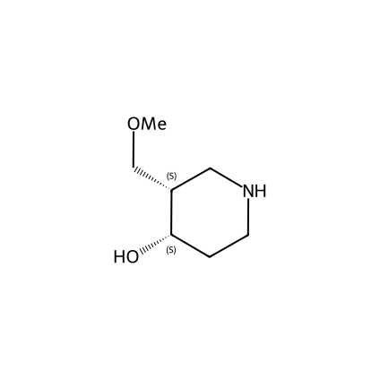 COC[C@@H]1CNCC[C@@H]1O